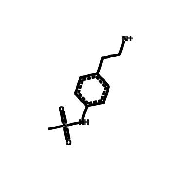 CS(=O)(=O)Nc1ccc(CC[NH])cc1